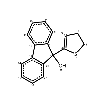 OC1(C2=NCCS2)c2ccccc2-c2ccccc21